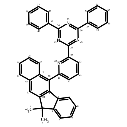 CC1(C)c2ccccc2-c2c1cc1ccccc1c2-c1cccc(-c2nc(-c3ccccc3)nc(-c3ccccc3)n2)n1